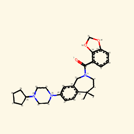 CC1(C)CCN(C(=O)c2cccc3c2OCO3)Cc2cc(N3CCN(C4CCCC4)CC3)ccc21